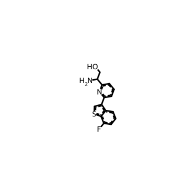 NC(CO)c1cccc(-c2csc3c(F)cccc23)n1